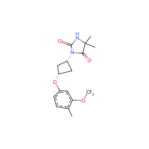 Cc1ccc(O[C@H]2C[C@@H](N3C(=O)NC(C)(C)C3=O)C2)cc1OC(F)(F)F